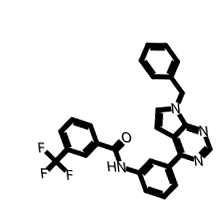 O=C(Nc1cccc(-c2ncnc3c2ccn3Cc2ccccc2)c1)c1cccc(C(F)(F)F)c1